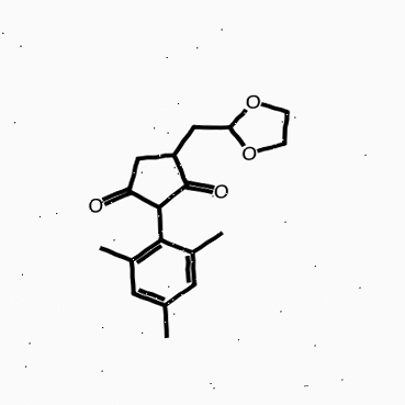 Cc1cc(C)c(C2C(=O)CC(CC3OCCO3)C2=O)c(C)c1